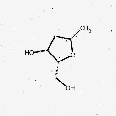 C[C@H]1CC(O)[C@@H](CO)O1